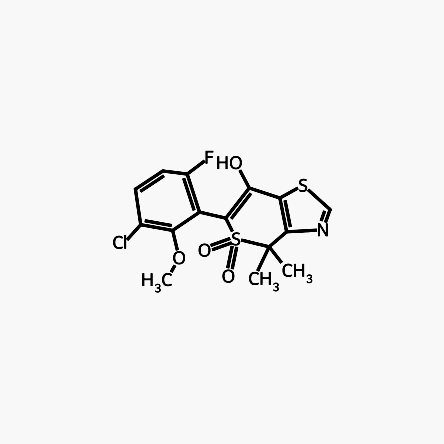 COc1c(Cl)ccc(F)c1C1=C(O)c2scnc2C(C)(C)S1(=O)=O